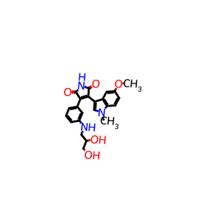 COc1ccc2c(c1)c(C1=C(c3cccc(NCC(O)CO)c3)C(=O)NC1=O)cn2C